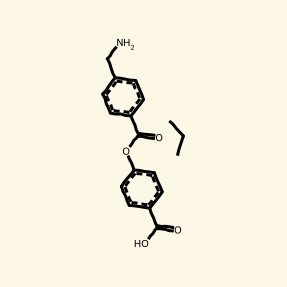 CCC.NCc1ccc(C(=O)Oc2ccc(C(=O)O)cc2)cc1